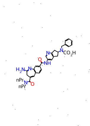 CCCN(CCC)C(=O)C1=Cc2ccc(C(=O)Nc3cnc4c(c3)CC(N(Cc3ccccc3)C(=O)O)C4)cc2N=C(N)C1